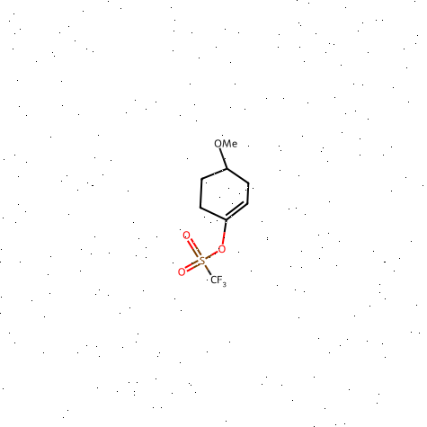 COC1CC=C(OS(=O)(=O)C(F)(F)F)CC1